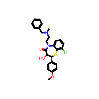 COc1ccc([C@@H]2Sc3c(Cl)cccc3N(CCN(C)Cc3ccccc3)C(=O)[C@@H]2O)cc1